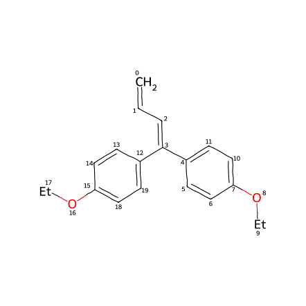 C=CC=C(c1ccc(OCC)cc1)c1ccc(OCC)cc1